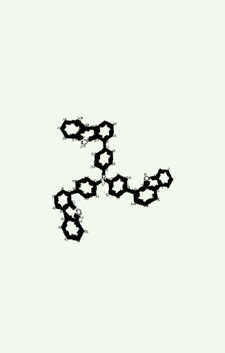 c1ccc2c(c1)oc1c(-c3ccc(N(c4ccc(-c5cccc6c5oc5ccccc56)cc4)c4ccc(-c5cccc6c5oc5ccccc56)cc4)cc3)cccc12